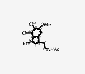 CCn1cc(CCNC(C)=O)c2cc(OC)c(Cl)c(Cl)c21